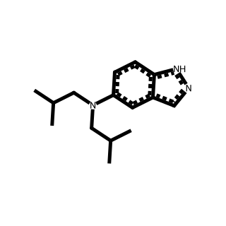 CC(C)CN(CC(C)C)c1ccc2[nH]ncc2c1